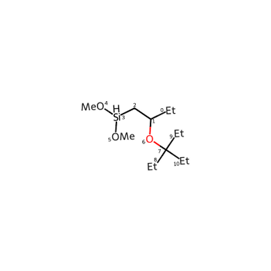 CCC(C[SiH](OC)OC)OC(CC)(CC)CC